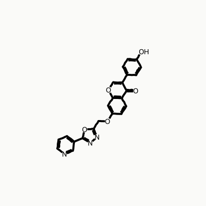 O=c1c(-c2ccc(O)cc2)coc2cc(OCc3nnc(-c4cccnc4)o3)ccc12